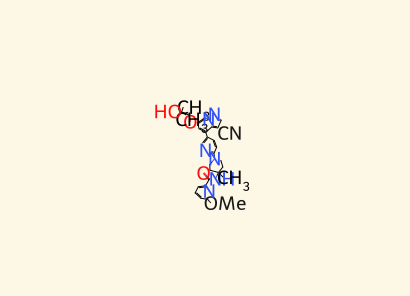 COc1cccc(C(=O)NC2(C)CCN(c3ccc(-c4cc(OCC(C)(C)O)cn5ncc(C#N)c45)cn3)CC2)n1